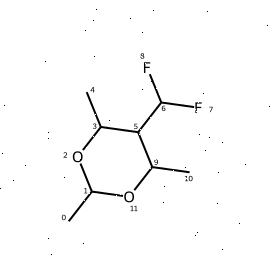 CC1OC(C)C(C(F)F)C(C)O1